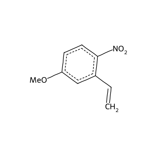 C=Cc1cc(OC)ccc1[N+](=O)[O-]